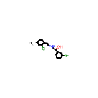 Cc1ccc(CCNCC(O)c2cccc(Br)c2)c(Cl)c1